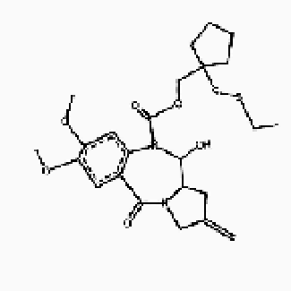 C=C1CC2C(O)N(C(=O)OCC3(SSCC)CCCC3)c3cc(OC)c(OC)cc3C(=O)N2C1